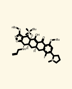 C=CCN[C@@H]1c2onc(OCCCC)c2C(=O)[C@@]2(O[Si](C)(C)C(C)(C)C)C(O)=C3C(=O)c4c(OCCCC)cc(C5CCCN5C)c(F)c4C[C@H]3C[C@@H]12